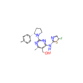 Cc1ccc([C@@H]2CCCN2c2nc(C)c(CO)c(Nc3ncc(F)s3)n2)cc1